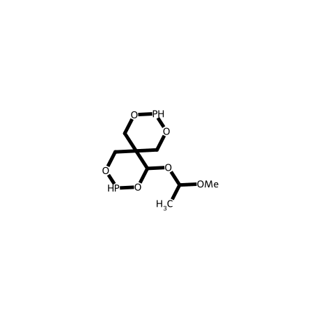 COC(C)OC1OPOCC12COPOC2